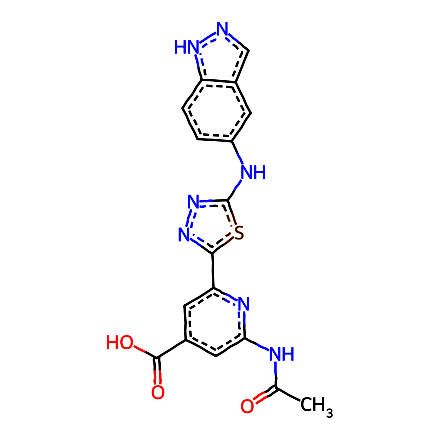 CC(=O)Nc1cc(C(=O)O)cc(-c2nnc(Nc3ccc4[nH]ncc4c3)s2)n1